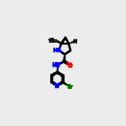 CC(C)(C)[C@@]12C[C@H]1C[C@@H](C(=O)Nc1ccnc(Br)c1)N2